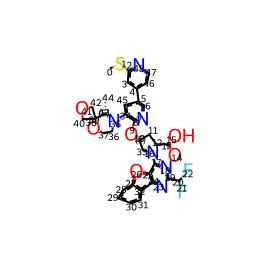 CSc1cc(-c2cnc(O[C@H]3CC(C(=O)O)N(c4nc(C(F)F)nc5c4oc4ccccc45)C3)c(N3CCOC4(COC4)[C@@H]3C)c2)ccn1